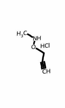 C#CCONC.Cl